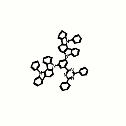 c1ccc(-c2nc(-c3ccccc3)nc(-c3cc(-n4c5ccccc5c5c4ccc4c6ccccc6n(-c6ccccc6)c45)cc(-n4c5ccccc5c5c4ccc4c6ccccc6n(-c6ccccc6)c45)c3)n2)cc1